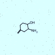 C=C1CCC(O)C(N)C1